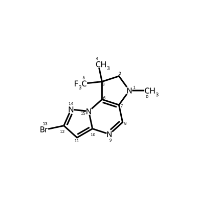 CN1CC(C)(C(F)(F)F)c2c1cnc1cc(Br)nn21